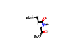 CCCCCCCCCCCC(=O)N(C)CC(=O)OCC(C)C